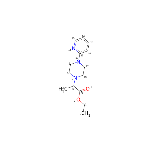 CCOC(=O)C(C)N1CCN(c2ccccn2)CC1